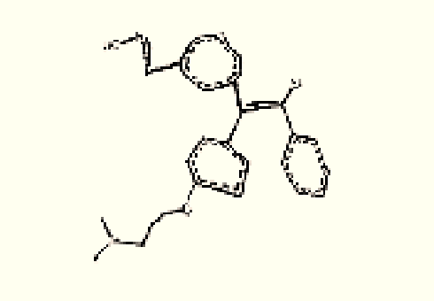 CCC(=C(c1ccc(OCCN(C)C)cc1)c1cccc(C=NO)c1)c1ccccc1